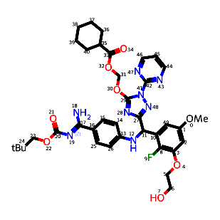 COc1cc(OCCO)c(F)c(C(Nc2ccc(/C(N)=N/C(=O)OCC(C)(C)C)cc2)c2nc(OCOC(=O)C3CCCCC3)n(-c3ncccn3)n2)c1